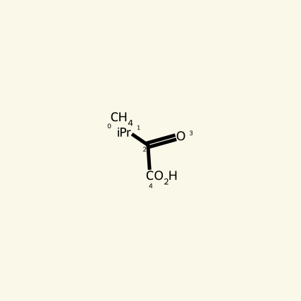 C.CC(C)C(=O)C(=O)O